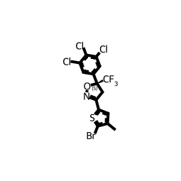 Cc1cc(C2=NO[C@@](c3cc(Cl)c(Cl)c(Cl)c3)(C(F)(F)F)C2)sc1Br